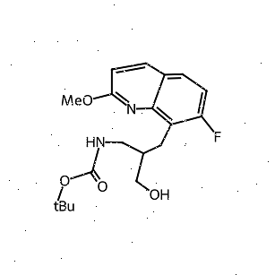 COc1ccc2ccc(F)c(CC(CO)CNC(=O)OC(C)(C)C)c2n1